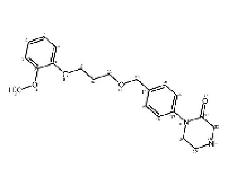 COc1ccccc1OCCCOCc1ccc(N2CCNCC2=O)cc1